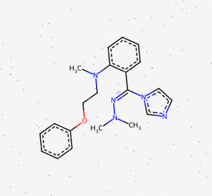 CN(C)/N=C(/c1ccccc1N(C)CCOc1ccccc1)n1ccnc1